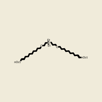 CCCCCCCCC=CCCCCCCCCOCCC[N+](CC)(CC)CCOCCCCCCCCC=CCCCCCCCC